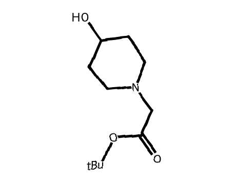 CC(C)(C)OC(=O)CN1CCC(O)CC1